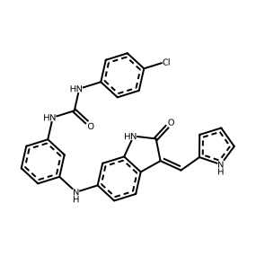 O=C(Nc1ccc(Cl)cc1)Nc1cccc(Nc2ccc3c(c2)NC(=O)C3=Cc2ccc[nH]2)c1